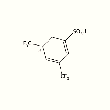 O=S(=O)(O)C1=CC(C(F)(F)F)=C[C@H](C(F)(F)F)C1